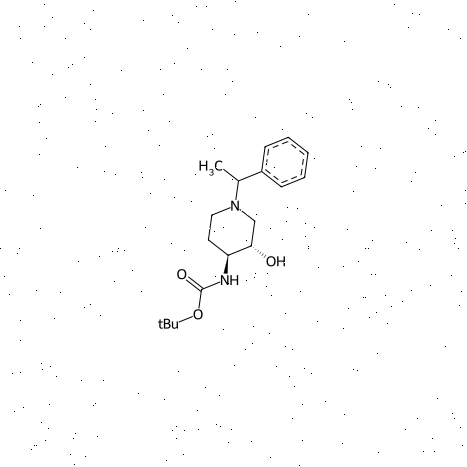 CC(c1ccccc1)N1CC[C@H](NC(=O)OC(C)(C)C)[C@@H](O)C1